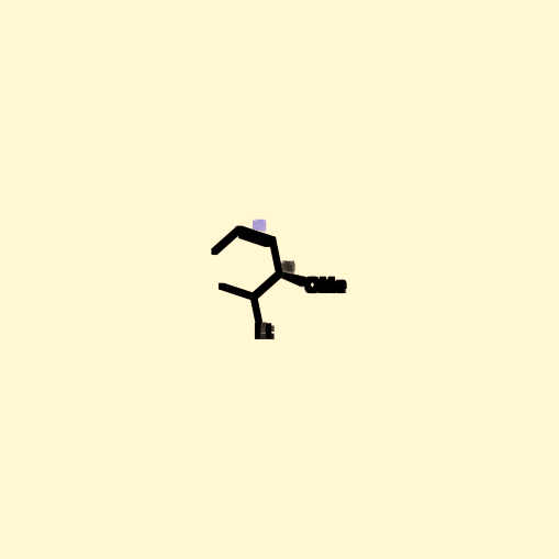 C/C=C\[C@@H](OC)C(C)CC